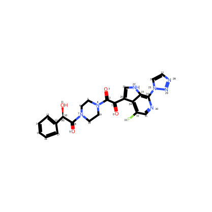 O=C(C(=O)N1CCN(C(=O)[C@H](O)c2ccccc2)CC1)c1c[nH]c2c(-n3ccnn3)ncc(F)c12